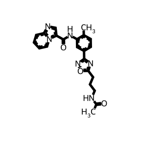 CC(=O)NCCCc1nc(-c2ccc(C)c(NC(=O)c3cnc4ccccn34)c2)no1